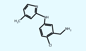 Cc1ccnc(Nc2ccc(Cl)c(CN)c2)c1